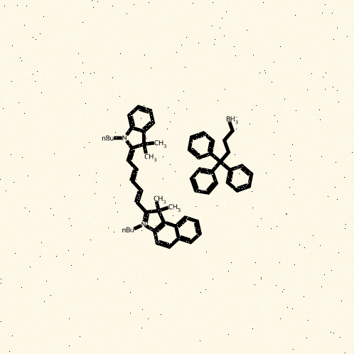 CCCCN1C(=CC=CC=CC2=[N+](CCCC)c3ccc4ccccc4c3C2(C)C)C(C)(C)c2ccccc21.[BH3-]CCCC(c1ccccc1)(c1ccccc1)c1ccccc1